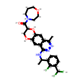 Cc1nnc(NC(C)c2cccc(C(F)F)c2F)c2cc3c(cc12)OC(C(=O)N1CCCOCC1)CO3